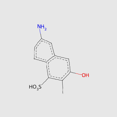 Cc1c(O)cc2cc(N)ccc2c1S(=O)(=O)O